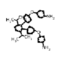 CC(C)c1ccc(C(C)C)c(-c2ccc(Oc3ccc(N)cc3)cc2)c1-c1ccc(Oc2ccc(N)cc2)cc1